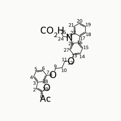 CC(=O)c1cc2cccc(OCCCOc3ccc4c5ccccc5n(CC(=O)O)c4c3)c2o1